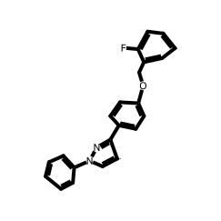 Fc1ccccc1COc1ccc(-c2[c]cn(-c3ccccc3)n2)cc1